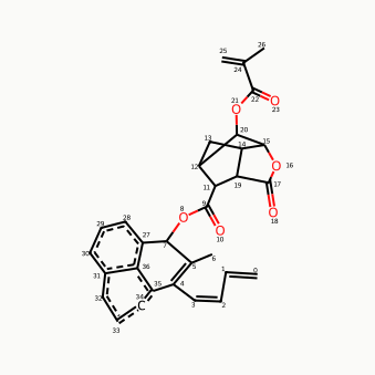 C=C/C=C\C1=C(C)C(OC(=O)C2C3CC4C(OC(=O)C42)C3OC(=O)C(=C)C)c2cccc3cccc1c23